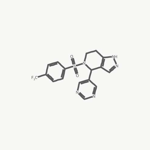 O=S(=O)(c1ccc(C(F)(F)F)cc1)N1CCc2[nH]ncc2C1c1cncnc1